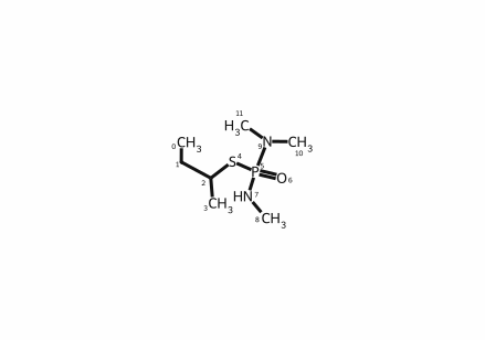 CCC(C)SP(=O)(NC)N(C)C